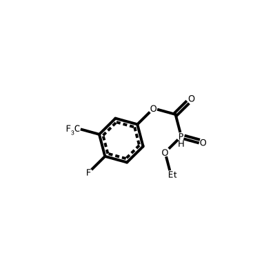 CCO[PH](=O)C(=O)Oc1ccc(F)c(C(F)(F)F)c1